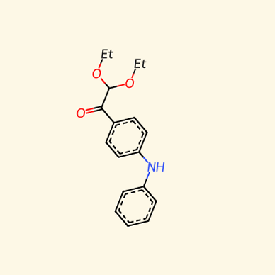 CCOC(OCC)C(=O)c1ccc(Nc2ccccc2)cc1